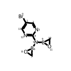 Brc1cnc(N(B2CO2)B2CO2)nc1